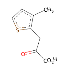 Cc1ccsc1CC(=O)C(=O)O